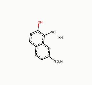 O=Nc1c(O)ccc2ccc(S(=O)(=O)O)cc12.[KH]